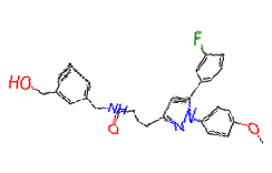 COc1ccc(-n2nc(CCC(=O)NCc3cccc(CO)c3)cc2-c2cccc(F)c2)cc1